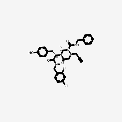 C#CCN1CC(=O)N([C@@H](Cc2ccc(O)cc2)C(=O)N(C)Cc2ccc(Cl)cc2Cl)[C@H](C)N1C(=O)NCc1ccccc1